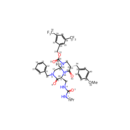 CCCNC(=O)NC[C@H]1C(=O)N(Cc2ccccc2)C[C@@H]2N(C(=O)OCc3cc(C(F)(F)F)cc(C(F)(F)F)c3)C[C@H](Cc3ccc(OC)cc3)C(=O)N21